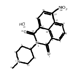 CN1CCC(N2C(=O)c3cccc4c([N+](=O)[O-])ccc(c34)C2=O)CC1.Cl